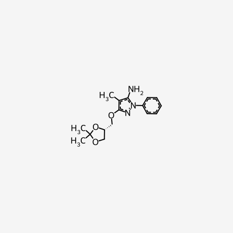 Cc1c(OC[C@@H]2COC(C)(C)O2)nn(-c2ccccc2)c1N